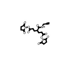 C#CCNC(=O)C(CCC(=O)ON1C(=O)CCC1=O)CCC(=O)ON1C(=O)CCC1=O